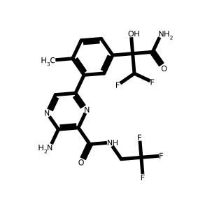 Cc1ccc(C(O)(C(N)=O)C(F)F)cc1-c1cnc(N)c(C(=O)NCC(F)(F)F)n1